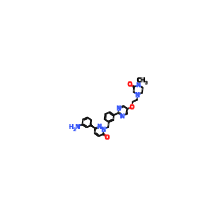 CN1CCN(CCOc2cnc(-c3cccc(Cn4nc(-c5cccc(N)c5)ccc4=O)c3)nc2)CC1=O